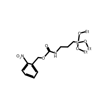 CCO[Si](CCCNC(=O)OCc1ccccc1[N+](=O)[O-])(OCC)OCC